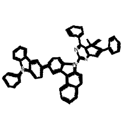 CC1(C)C(c2ccccc2)=Cc2nc(-n3c4ccc(-c5ccc6c(c5)c5ccccc5n6-c5ccccc5)cc4c4c5ccccc5ccc43)nc(-c3ccccc3)c21